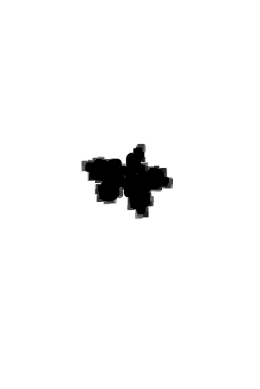 CCOC1=C2CN(S(=O)(=O)c3ccc(C)cc3)C(c3ccccc3)C[C@@H]2N(S(=O)(=O)c2ccc(C)cc2)C(c2ccc(C)cc2)C1